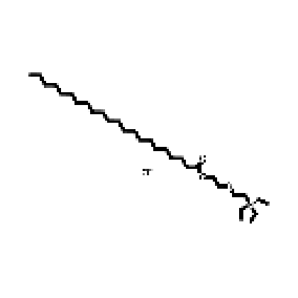 CCCCCCCCCCCCCCCCCCCCCC(=O)OCCOCC[N+](CC)(CC)CC.[Cl-]